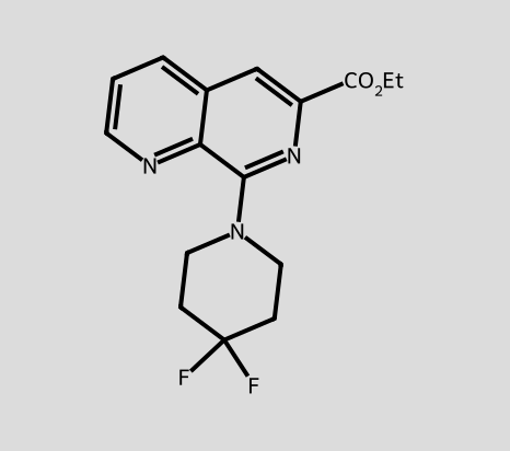 CCOC(=O)c1cc2cccnc2c(N2CCC(F)(F)CC2)n1